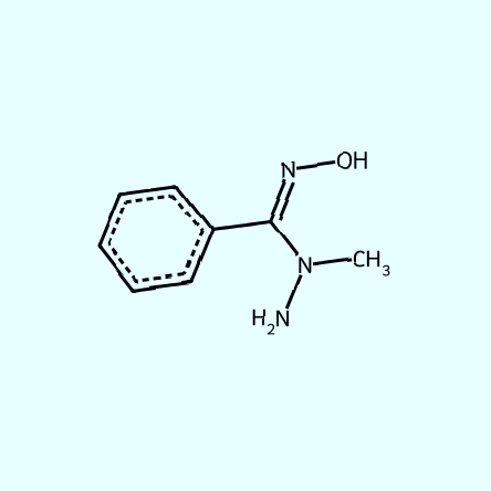 CN(N)C(=NO)c1ccccc1